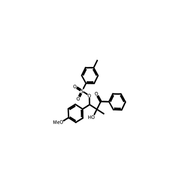 COc1ccc(C(OS(=O)(=O)c2ccc(C)cc2)C(C)(O)C(=O)c2ccccc2)cc1